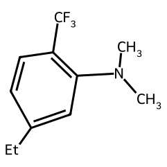 CCc1ccc(C(F)(F)F)c(N(C)C)c1